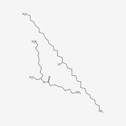 CCCCCCCCC(=O)OC(CC)CCCCCCCCCN.CCCCCCCCCCCCCCCCC(Cl)CCCCCCCCCCCCCCCC